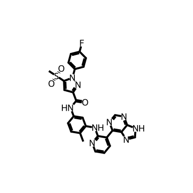 Cc1ccc(NC(=O)c2cc(S(C)(=O)=O)n(-c3ccc(F)cc3)n2)cc1Nc1ncccc1-c1ncnc2[nH]cnc12